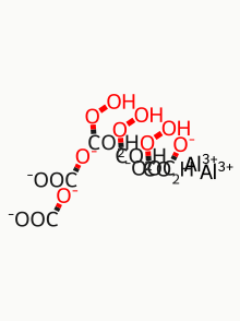 O=C(O)OO.O=C(O)OO.O=C(O)OO.O=C([O-])[O-].O=C([O-])[O-].O=C([O-])[O-].[Al+3].[Al+3]